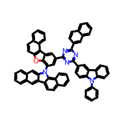 c1ccc(-n2c3ccccc3c3cc(-c4nc(-c5ccc6ccccc6c5)nc(-c5cc(-n6c7cc8ccccc8cc7c7ccc8ccccc8c76)c6oc7ccc8ccccc8c7c6c5)n4)ccc32)cc1